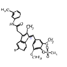 COc1cc(/C=C2/C(C)=C(CC(=O)Nc3cccc(C)c3)c3cc(F)ccc32)cc(OC)c1OS(C)(=O)=O